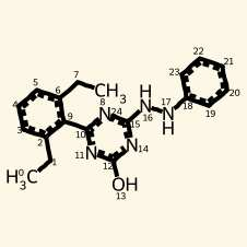 CCc1cccc(CC)c1-c1nc(O)nc(NNc2ccccc2)n1